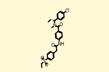 CC[C@H](c1ccc(Cl)cc1)N(C)C(=O)c1ccc(NC(=O)Cc2ccc(S(=O)(=O)CC)cc2)cc1